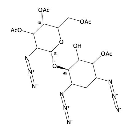 CC(=O)OCC1O[C@H](O[C@@H]2C(N=[N+]=[N-])CC(N=[N+]=[N-])C(OC(C)=O)C2O)C(N=[N+]=[N-])C(OC(C)=O)[C@@H]1OC(C)=O